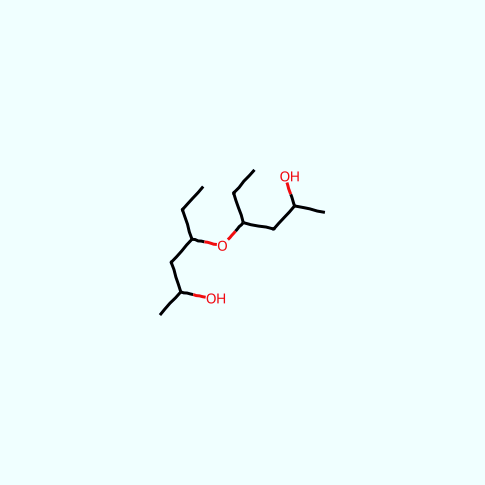 CCC(CC(C)O)OC(CC)CC(C)O